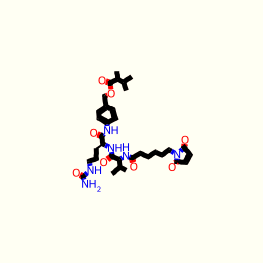 CC(C)C(C)C(=O)OCc1ccc(NC(=O)[C@H](CCCNC(N)=O)NC(=O)C(NC(=O)CCCCCN2C(=O)C=CC2=O)C(C)C)cc1